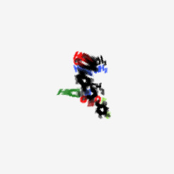 Cc1cc(OCc2ccc(F)cc2F)c(Br)c(=O)n1Cc1ccc(CNC(=O)[C@H](N)[C@@H](C)O)cc1.Cl